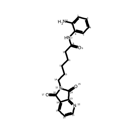 Nc1ccccc1NC(=O)CCCCCN1C(=O)c2cccnc2C1=O